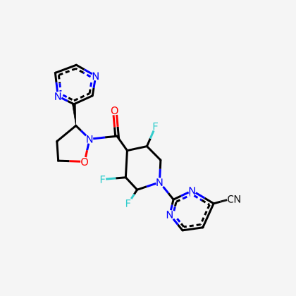 N#Cc1ccnc(N2CC(F)C(C(=O)N3OCC[C@H]3c3cnccn3)C(F)C2F)n1